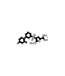 CSc1sc(C(=N)N)cc1S(=O)(=O)c1cccc(-c2ccc(F)cc2C)c1